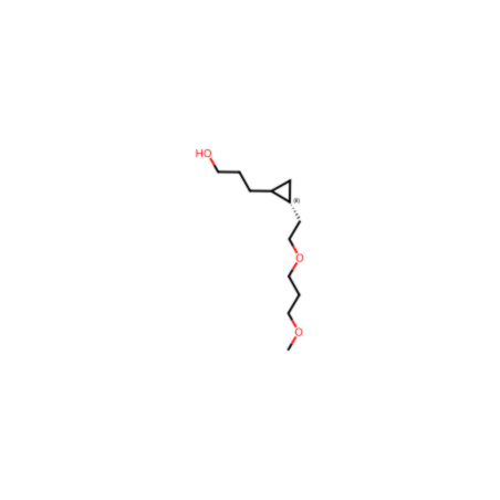 COCCCOCC[C@H]1CC1CCCO